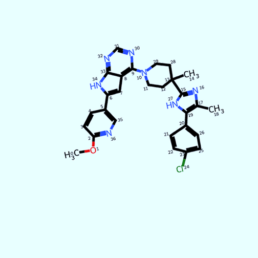 COc1ccc(-c2cc3c(N4CCC(C)(c5nc(C)c(-c6ccc(Cl)cc6)[nH]5)CC4)ncnc3[nH]2)cn1